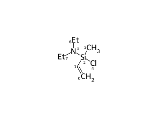 C=C[Si](C)(Cl)N(CC)CC